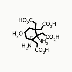 N[C@]1(CC(=O)O)CCCC(CC(=O)O)(CC(=O)O)[C@]1(N)CC(=O)O.O